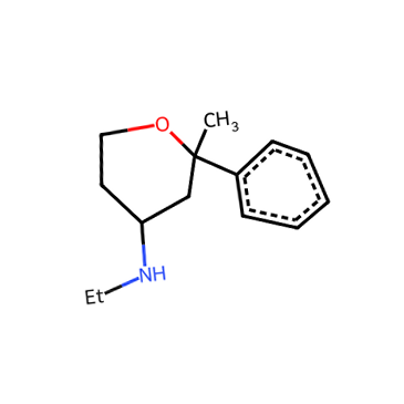 CCNC1CCOC(C)(c2ccccc2)C1